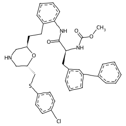 COC(=O)N[C@@H](Cc1cccc(-c2ccccc2)c1)C(=O)Nc1ccccc1CC[C@@H]1CNC[C@@H](CSc2ccc(Cl)cc2)O1